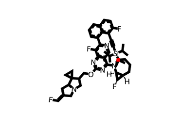 CC(C)[Si](C#Cc1c(F)ccc2cccc(-c3ncc4c(N5CCCC[C@H]6[C@H](F)[C@H]65)nc(OCC5CN6CC(=CF)CC6C56CC6)nc4c3F)c12)(C(C)C)C(C)C